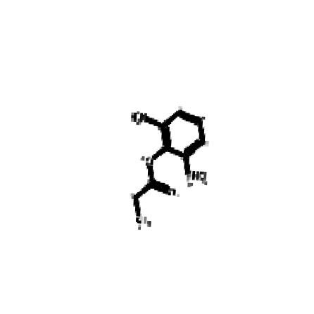 CCC(=O)Oc1c(N)cccc1F.Cl